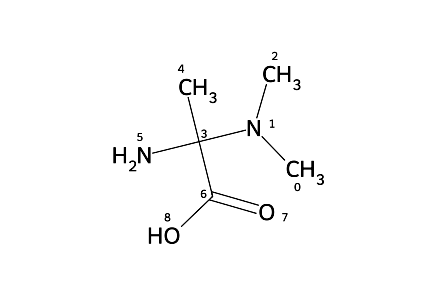 CN(C)C(C)(N)C(=O)O